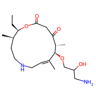 CC[C@H]1OC(=O)CC(=O)[C@H](C)[C@@H](OCC(O)CN)/C(C)=C/CNCC[C@H]1C